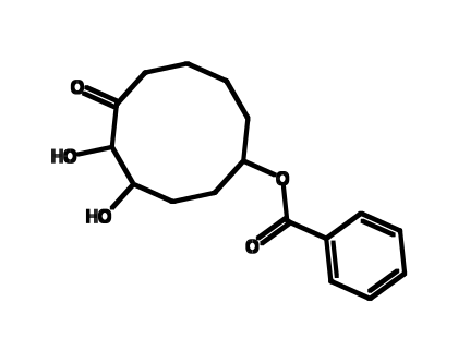 O=C(OC1CCCCC(=O)C(O)C(O)CC1)c1ccccc1